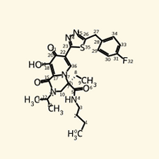 CCCCNC(=O)[C@@]1(CC)CN(C(C)C)C(=O)c2c(O)c(=O)c(-c3nnc(Cc4ccc(F)cc4)s3)cn21